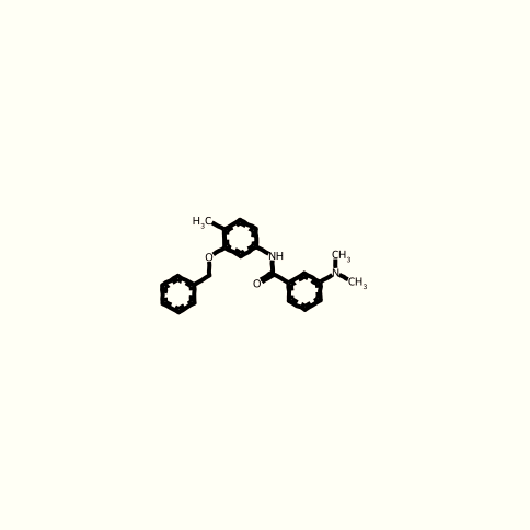 Cc1ccc(NC(=O)c2cccc(N(C)C)c2)cc1OCc1ccccc1